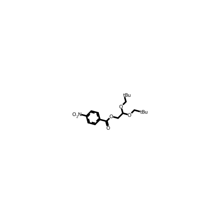 CC(C)(C)COC(COC(=O)c1ccc([N+](=O)[O-])cc1)OCC(C)(C)C